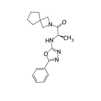 C[C@@H](Nc1nnc(-c2ccccc2)o1)C(=O)N1CC2(CCCC2)C1